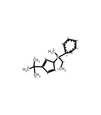 CC[Si](C)([C]1C=CC(C(C)(C)C)=C1)c1ccccc1